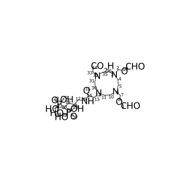 O=COCN1CCN(COC=O)CCN(CC(=O)NCCCC(O)(P(=O)(O)O)P(=O)(O)O)CCN(CC(=O)O)CC1